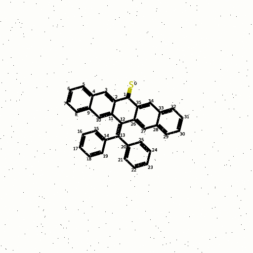 S=C1c2cc3ccccc3cc2C(=C(c2ccccc2)c2ccccc2)c2cc3ccccc3cc21